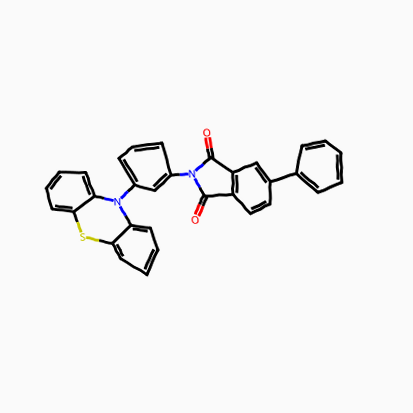 O=C1c2ccc(-c3ccccc3)cc2C(=O)N1c1cccc(N2c3ccccc3Sc3ccccc32)c1